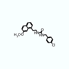 COc1ccc2cccc(CCNC(=O)NCc3ccc(Cl)cc3)c2c1